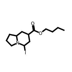 CCCCOC(=O)C1CC(I)N2CCCC2C1